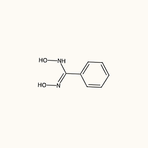 ON=C(NO)c1ccccc1